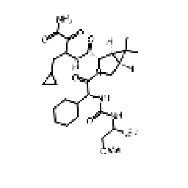 COC[C@@H](NC(=O)N[C@H](C(=O)N1C[C@H]2[C@@H]([C@H]1C(=O)NC(CC1CC1)C(=O)C(N)=O)C2(C)C)C1CCCCC1)C(C)(C)C